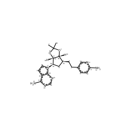 CC1(C)O[C@@H]2[C@@H](CCc3ccc(N)nc3)C[C@@H](n3ccc4c(N)ncnc43)[C@@H]2O1